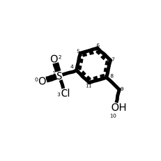 O=S(=O)(Cl)c1cccc(CO)c1